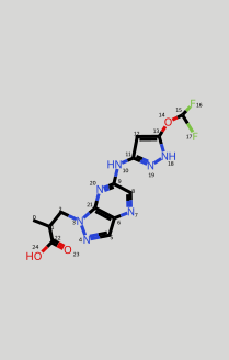 CC(Cn1ncc2ncc(Nc3cc(OC(F)F)[nH]n3)nc21)C(=O)O